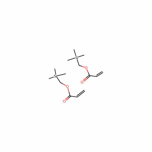 C=CC(=O)OC[Si](C)(C)C.C=CC(=O)OC[Si](C)(C)C